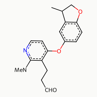 CNc1nccc(Oc2ccc3c(c2)C(C)CO3)c1CCC=O